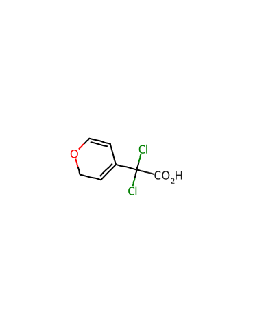 O=C(O)C(Cl)(Cl)C1=CCOC=C1